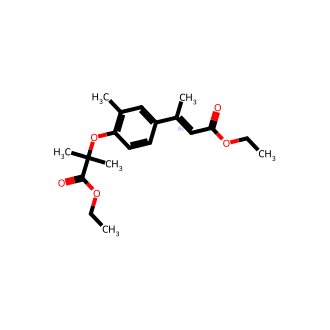 CCOC(=O)/C=C(\C)c1ccc(OC(C)(C)C(=O)OCC)c(C)c1